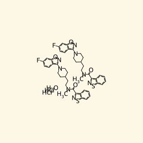 CN(CCC1CCN(c2noc3cc(F)ccc23)CC1)C(=O)c1nsc2ccccc12.CN(CCC1CCN(c2noc3cc(F)ccc23)CC1)C(=O)c1nsc2ccccc12.Cl.Cl.O